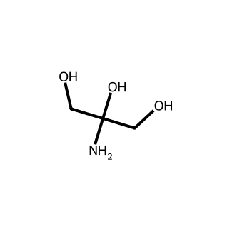 NC(O)(CO)CO